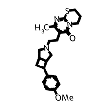 COc1ccc(C2CC3CN(CCc4c(C)nc5n(c4=O)CCCS5)CC32)cc1